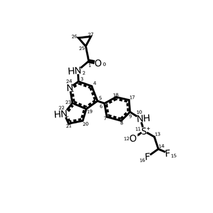 O=C(Nc1cc(-c2ccc(N[S+]([O-])CC(F)F)cc2)c2cc[nH]c2n1)C1CC1